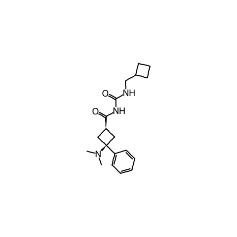 CN(C)[C@]1(c2ccccc2)C[C@H](C(=O)NC(=O)NCC2CCC2)C1